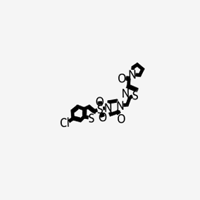 O=C1CN(S(=O)(=O)c2cc3ccc(Cl)cc3s2)CCN1Cc1nc(C(=O)N2CCCC2)cs1